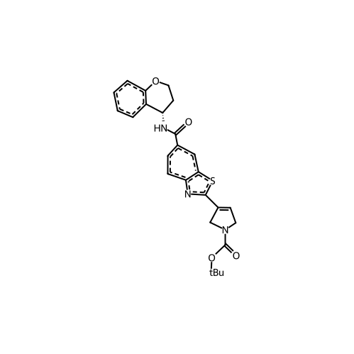 CC(C)(C)OC(=O)N1CC=C(c2nc3ccc(C(=O)N[C@H]4CCOc5ccccc54)cc3s2)C1